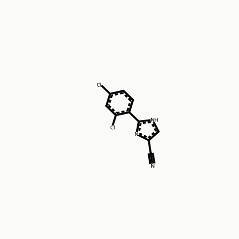 N#Cc1c[nH]c(-c2ccc(Cl)cc2Cl)n1